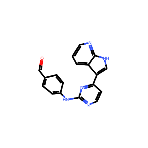 O=Cc1ccc(Nc2nccc(-c3c[nH]c4ncccc34)n2)cc1